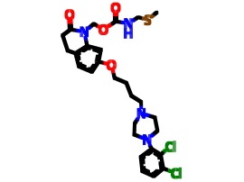 CSCNC(=O)OCN1C(=O)CCc2ccc(OCCCCN3CCN(c4cccc(Cl)c4Cl)CC3)cc21